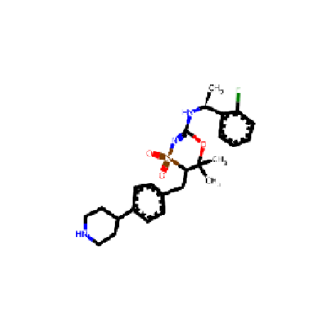 C[C@H](NC1=NS(=O)(=O)C(Cc2ccc(C3CCNCC3)cc2)C(C)(C)O1)c1ccccc1F